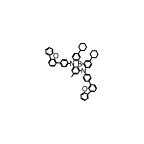 Cc1cc2c3c(c1)N(c1ccc(-c4cccc5c4oc4ccccc45)cc1)c1ccc(C4CCCCC4)cc1B3c1cc(C3CCCCC3)ccc1N2c1ccc(-c2cccc3c2oc2ccccc23)cc1